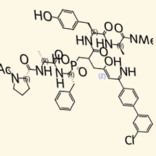 CNC(=O)[C@@H](C)NC(=O)[C@H](Cc1ccc(O)cc1)NC(=O)C(C/C(O)=C/C(=N)c1ccc(-c2cccc(Cl)c2)cc1)CP(=O)(O)[C@H](Cc1ccccc1)NC(=O)[C@@H](C)NC(=O)[C@@H]1CCCN1C(C)=O